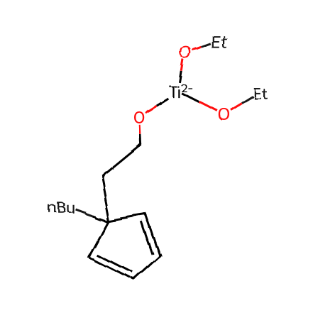 CCCCC1(CC[O][Ti-2]([O]CC)[O]CC)C=CC=C1